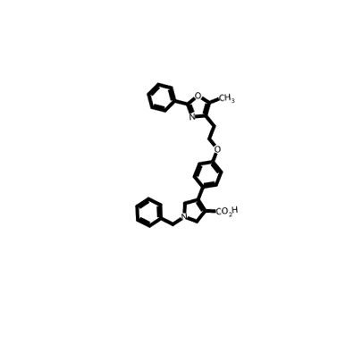 Cc1oc(-c2ccccc2)nc1CCOc1ccc(C2=C(C(=O)O)CN(Cc3ccccc3)C2)cc1